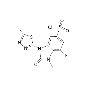 Cc1nnc(-n2c(=O)n(C)c3c(F)cc(S(=O)(=O)Cl)cc32)s1